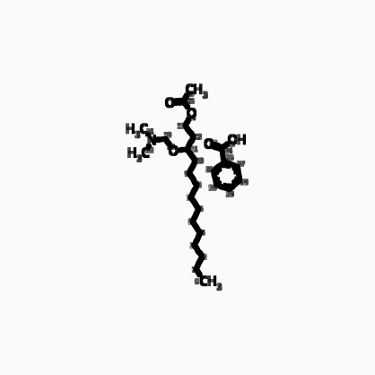 CCCCCCCCCCCC(CCOC(C)=O)OCN(C)C.O=C(O)c1ccccc1